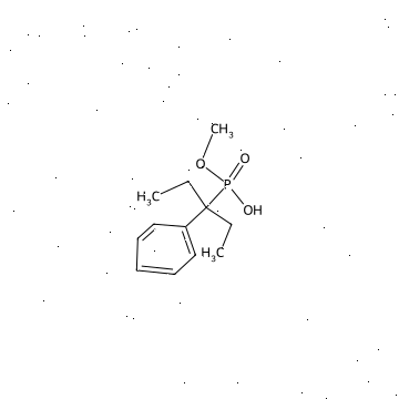 CCC(CC)(c1ccccc1)P(=O)(O)OC